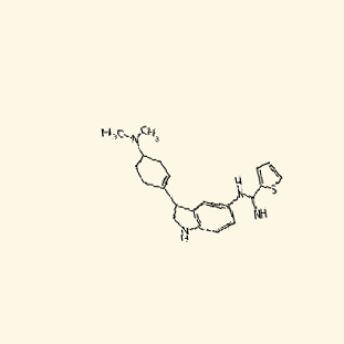 CN(C)C1CC=C(C2CNc3ccc(NC(=N)c4cccs4)cc32)CC1